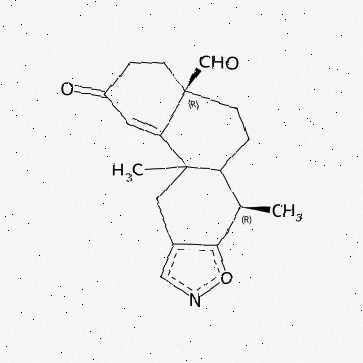 C[C@H]1c2oncc2CC2(C)C3=CC(=O)CC[C@]3(C=O)CCC12